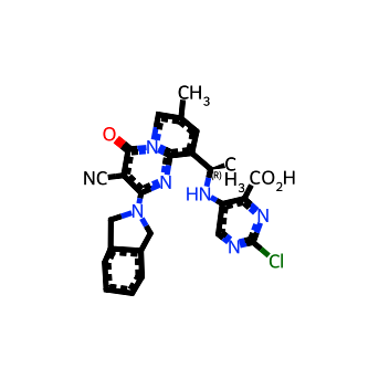 Cc1cc([C@@H](C)Nc2cnc(Cl)nc2C(=O)O)c2nc(N3Cc4ccccc4C3)c(C#N)c(=O)n2c1